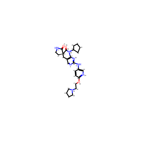 O=C1NCC[C@@]12Cc1cnc(Nc3ccc(OCCN4CCCC4)nc3)nc1N(C1CCCC1)C2=O